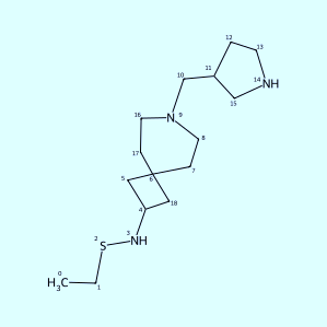 CCSNC1CC2(CCN(CC3CCNC3)CC2)C1